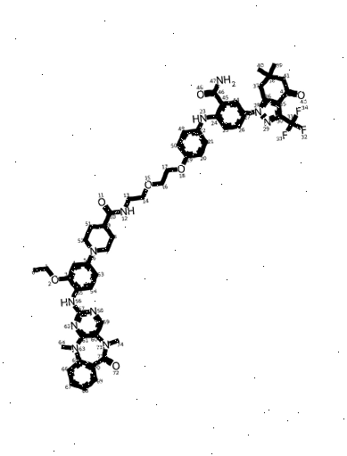 CCOc1cc(N2CCC(C(=O)NCCOCCOc3ccc(Nc4ccc(-n5nc(C(F)(F)F)c6c5CC(C)(C)CC6=O)cc4C(N)=O)cc3)CC2)ccc1Nc1ncc2c(n1)N(C)c1ccccc1C(=O)N2C